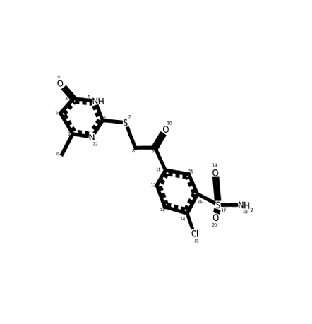 Cc1cc(=O)[nH]c(SCC(=O)c2ccc(Cl)c(S(N)(=O)=O)c2)n1